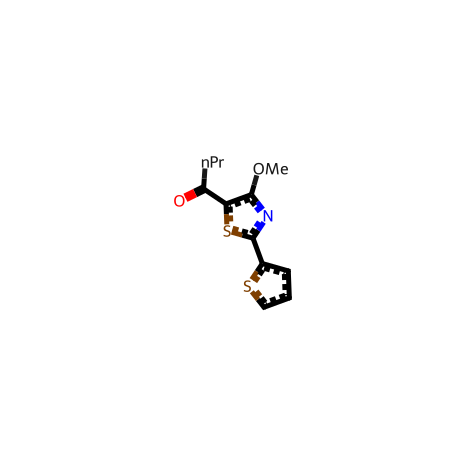 CCCC(=O)c1sc(-c2cccs2)nc1OC